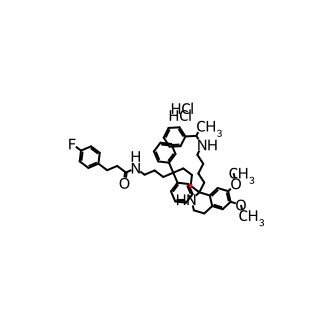 COc1cc2c(cc1OC)C(CCCCNC(C)c1ccccc1)(CCCC(CCCNC(=O)CCc1ccc(F)cc1)(c1ccccc1)c1ccccc1)NCC2.Cl.Cl